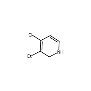 CCC1=C(Cl)C=CNC1